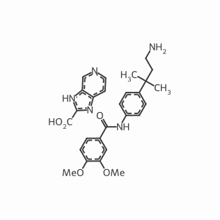 COc1ccc(C(=O)Nc2ccc(C(C)(C)CCN)cc2)cc1OC.O=C(O)c1nc2ccncc2[nH]1